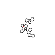 c1ccc(-c2ccccc2N(c2ccc(-c3cccc4c3oc3ccccc34)cc2)c2cc3ccc4ccccc4c3c3ccccc23)cc1